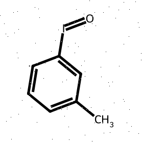 Cc1cc[c]c(I=O)c1